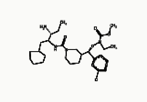 CC[C@@H](N)C(CC1CCCCC1)NC(=O)N1CCCC([C@@H](ON(CC)C(=O)OC)c2cccc(Cl)c2)C1